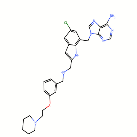 Nc1ncnc2c1ncn2Cc1cc(Cl)cc2cc(CNCc3cccc(OCCN4CCCCC4)c3)[nH]c12